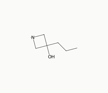 CCCC1(O)C[N]C1